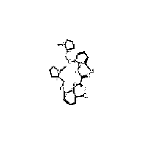 CN1CCC[C@@H]1CON1C=CC=C(Cl)N1OC(=O)C(=O)ON1C(Cl)=CC=CN1OC[C@H]1CCCN1C